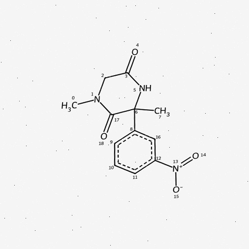 CN1CC(=O)NC(C)(c2cccc([N+](=O)[O-])c2)C1=O